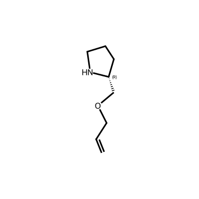 C=CCOC[C@H]1CCCN1